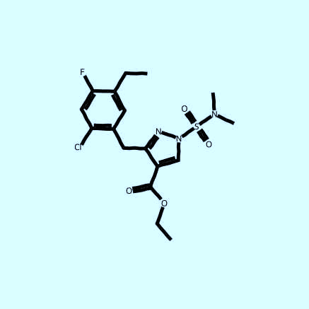 CCOC(=O)c1cn(S(=O)(=O)N(C)C)nc1Cc1cc(CC)c(F)cc1Cl